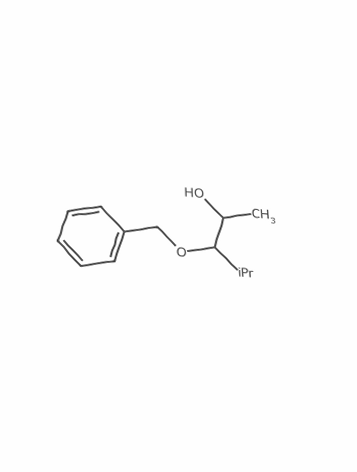 CC(C)C(OCc1ccccc1)C(C)O